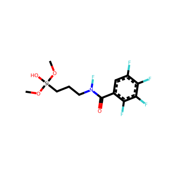 CO[Si](O)(CCCN(F)C(=O)c1cc(F)c(F)c(F)c1F)OC